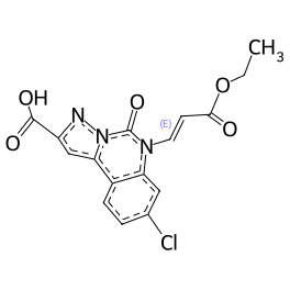 CCOC(=O)/C=C/n1c(=O)n2nc(C(=O)O)cc2c2ccc(Cl)cc21